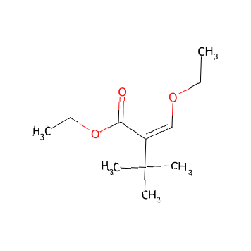 CCOC=C(C(=O)OCC)C(C)(C)C